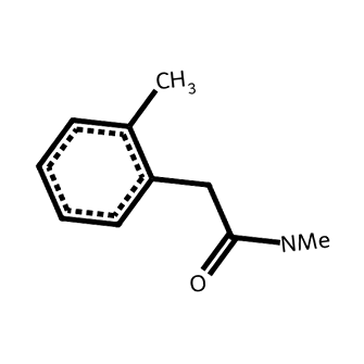 CNC(=O)Cc1ccccc1C